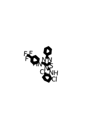 FC(F)(F)c1ccc(Nc2nc(-c3ccccc3)nc3sc(Nc4c(Cl)cccc4Cl)nc23)cc1